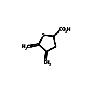 C=C1CC(C(=O)O)SC1=C